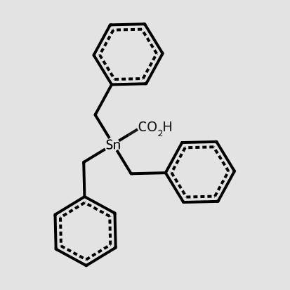 O=[C](O)[Sn]([CH2]c1ccccc1)([CH2]c1ccccc1)[CH2]c1ccccc1